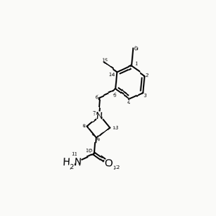 Cc1cccc(CN2CC(C(N)=O)C2)c1C